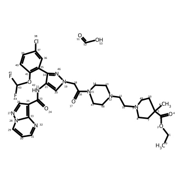 CCOC(=O)C1(C)CCN(CCN2CCN(C(=O)Cn3cc(NC(=O)c4cnn5cccnc45)c(-c4cc(Cl)ccc4OC(F)F)n3)CC2)CC1.O=CO